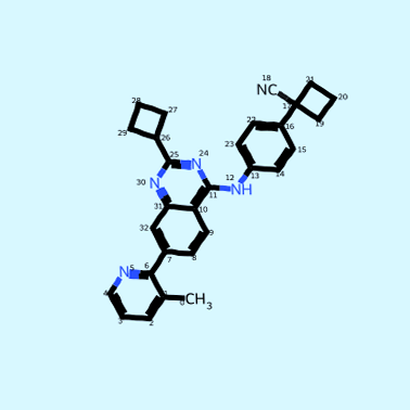 Cc1cccnc1-c1ccc2c(Nc3ccc(C4(C#N)CCC4)cc3)nc(C3CCC3)nc2c1